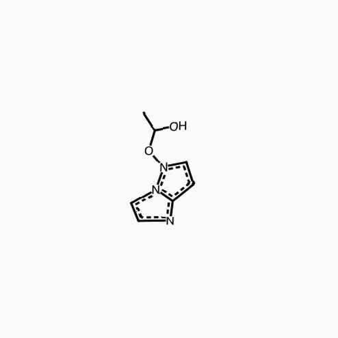 CC(O)On1ccc2nccn21